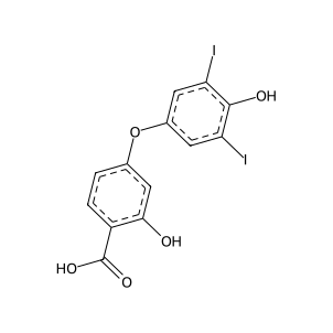 O=C(O)c1ccc(Oc2cc(I)c(O)c(I)c2)cc1O